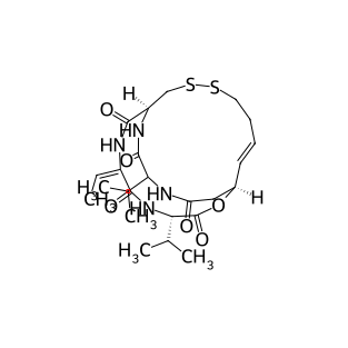 C/C=C1/NC(=O)[C@H]2CSSCC/C=C/[C@H](CC(=O)NC(C(C)C)C(=O)N2)OC(=O)[C@H](C(C)C)NC1=O